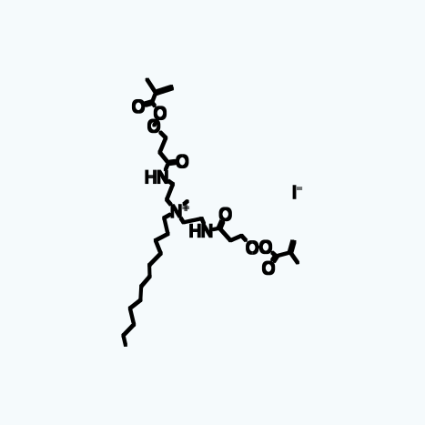 C=C(C)C(=O)OOCCC(=O)NCC[N+](C)(CCCCCCCCCCCC)CCNC(=O)CCOOC(=O)C(=C)C.[I-]